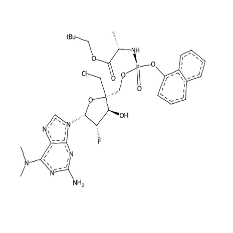 C[C@H](N[P@@](=O)(OC[C@@]1(CCl)O[C@@H](n2cnc3c(N(C)C)nc(N)nc32)[C@@H](F)[C@@H]1O)Oc1cccc2ccccc12)C(=O)OCC(C)(C)C